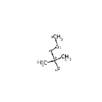 CSCC(C)(C)F